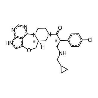 O=C([C@H](CNCC1CC1)c1ccc(Cl)cc1)N1CCN2c3ncnc4[nH]cc(c34)OC[C@@H]2C1